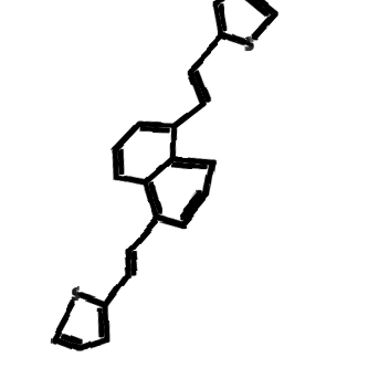 C(=Cc1cccc2c(C=Cc3cccs3)cccc12)c1cccs1